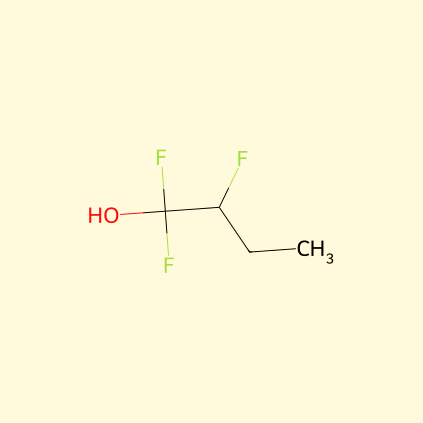 CCC(F)C(O)(F)F